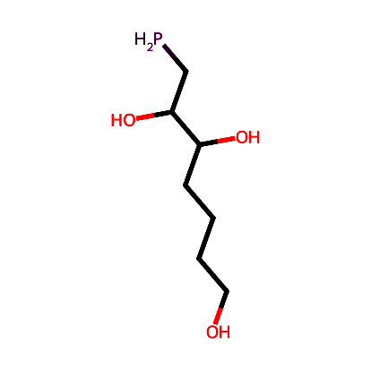 OCCCCC(O)C(O)CP